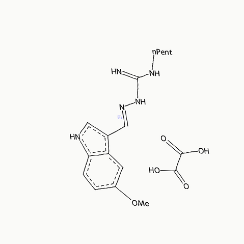 CCCCCNC(=N)N/N=C/c1c[nH]c2ccc(OC)cc12.O=C(O)C(=O)O